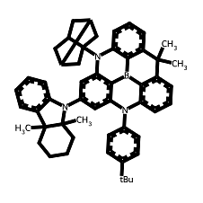 CC(C)(C)c1ccc(N2c3cc(N4c5ccccc5C5(C)CCCCC45C)cc4c3B3c5c2cccc5C(C)(C)c2cccc(c23)N4C23CC4CC2CC4C3)cc1